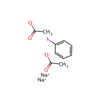 CC(=O)[O-].CC(=O)[O-].Ic1ccccc1.[Na+].[Na+]